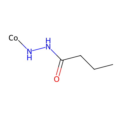 CCCC(=O)N[NH][Co]